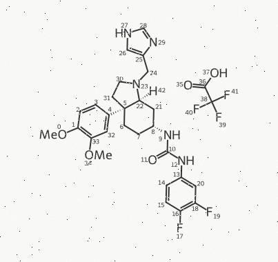 COc1ccc([C@@]23CC[C@@H](NC(=O)Nc4ccc(F)c(F)c4)C[C@@H]2N(Cc2c[nH]cn2)CC3)cc1OC.O=C(O)C(F)(F)F